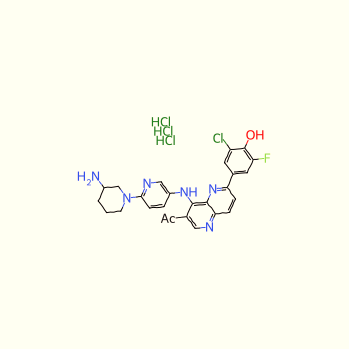 CC(=O)c1cnc2ccc(-c3cc(F)c(O)c(Cl)c3)nc2c1Nc1ccc(N2CCCC(N)C2)nc1.Cl.Cl.Cl